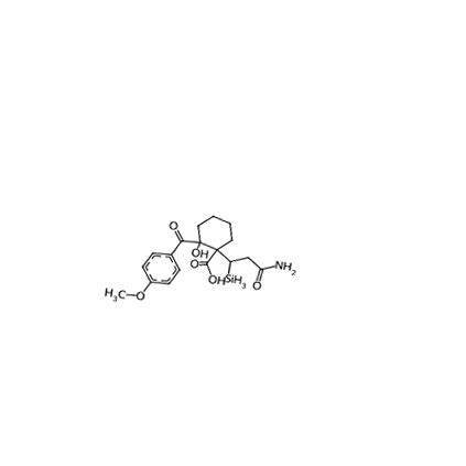 COc1ccc(C(=O)C2(O)CCCCC2(C(=O)O)C([SiH3])CC(N)=O)cc1